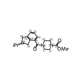 COC(=O)N1CCN(C(=O)c2cccc3c2CN(C(C)C)C3)CC1